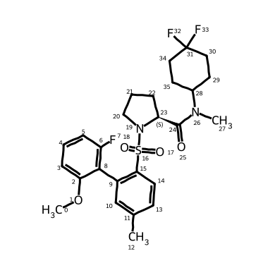 COc1cccc(F)c1-c1cc(C)ccc1S(=O)(=O)N1CCC[C@H]1C(=O)N(C)C1CCC(F)(F)CC1